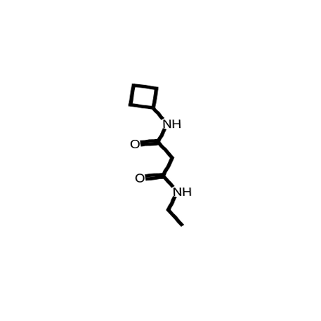 CCNC(=O)CC(=O)NC1CCC1